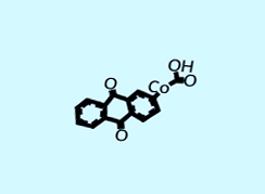 O=[C](O)[Co][c]1ccc2c(c1)C(=O)c1ccccc1C2=O